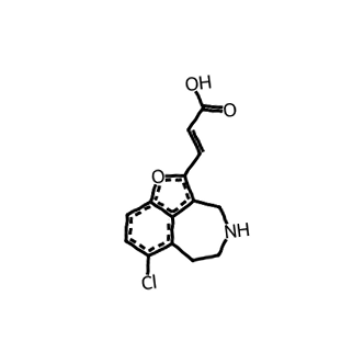 O=C(O)C=Cc1oc2ccc(Cl)c3c2c1CNCC3